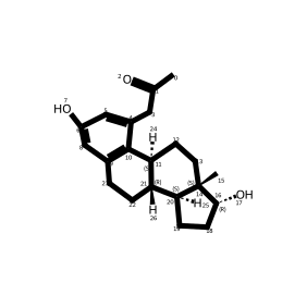 CC(=O)Cc1cc(O)cc2c1[C@H]1CC[C@]3(C)[C@H](O)CC[C@H]3[C@@H]1CC2